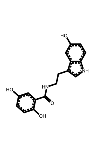 O=C(NCCc1c[nH]c2ccc(O)cc12)c1cc(O)ccc1O